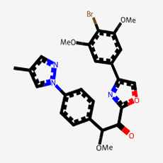 COc1cc(-c2coc(C(=O)C(OC)c3ccc(-n4cc(C)cn4)cc3)n2)cc(OC)c1Br